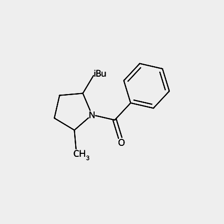 CCC(C)C1CCC(C)N1C(=O)c1ccccc1